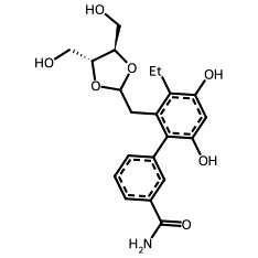 CCc1c(O)cc(O)c(-c2cccc(C(N)=O)c2)c1CC1O[C@H](CO)[C@@H](CO)O1